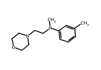 Cc1cccc(N(C)CCN2CCOCC2)c1